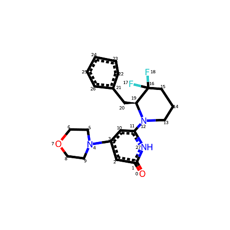 O=c1cc(N2CCOCC2)cc(N2CCCC(F)(F)[C@@H]2Cc2ccccc2)[nH]1